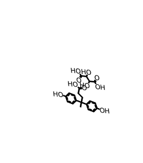 CC(CCC(=O)O)(c1ccc(O)cc1)c1ccc(O)cc1.O=C(O)C(O)C(O)C(=O)O